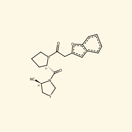 N#C[C@@H]1CSCN1C(=O)[C@@H]1CCCN1C(=O)Cc1cc2ccccc2o1